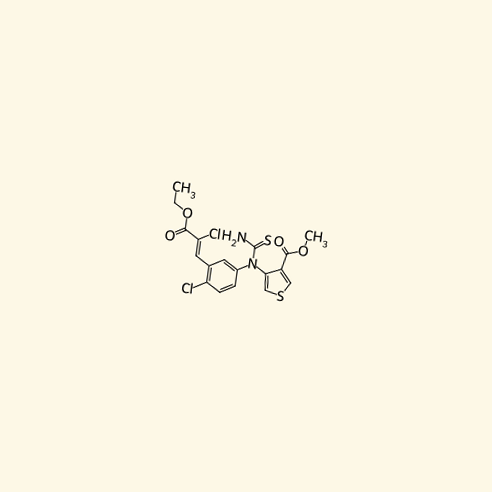 CCOC(=O)C(Cl)=Cc1cc(N(C(N)=S)c2cscc2C(=O)OC)ccc1Cl